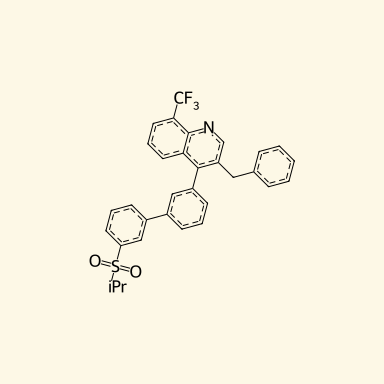 CC(C)S(=O)(=O)c1cccc(-c2cccc(-c3c(Cc4ccccc4)cnc4c(C(F)(F)F)cccc34)c2)c1